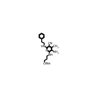 COCCCNc1nc(NCCc2ccccc2)c(C#N)c(C)c1N